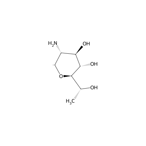 C[C@@H](O)[C@H]1O[CH][C@H](N)[C@@H](O)[C@@H]1O